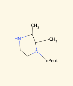 CCCCCN1CCNC(C)C1C